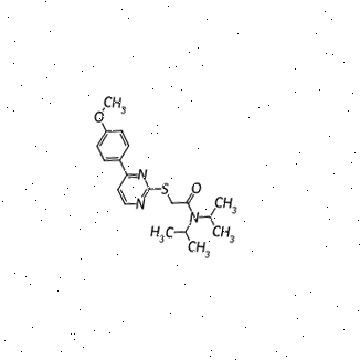 COc1ccc(-c2ccnc(SCC(=O)N(C(C)C)C(C)C)n2)cc1